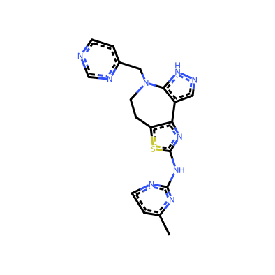 Cc1ccnc(Nc2nc3c(s2)CCN(Cc2ccncn2)c2[nH]ncc2-3)n1